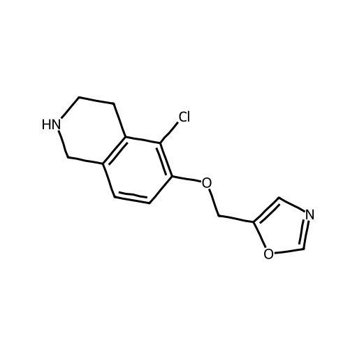 Clc1c(OCc2cnco2)ccc2c1CCNC2